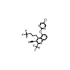 N#Cc1c(C(F)(F)F)nc2cccc(Oc3ncc(Cl)cn3)c2c1CCCC(F)(F)F